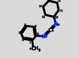 Cc1ccccc1N=C=NC1CCCCC1